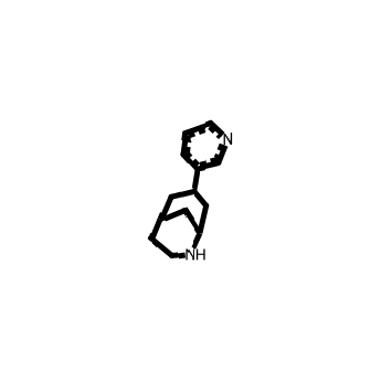 c1cncc(C2CC3CCNC(C3)C2)c1